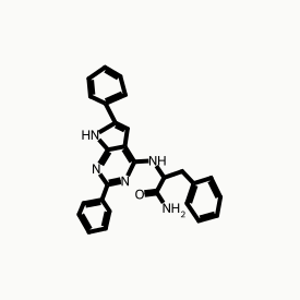 NC(=O)C(Cc1ccccc1)Nc1nc(-c2ccccc2)nc2[nH]c(-c3ccccc3)cc12